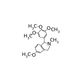 COc1ccc2c(c1)CCN(C)C2c1cc(OC)c(OC)c(OC)c1